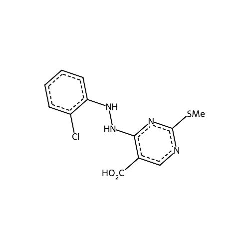 CSc1ncc(C(=O)O)c(NNc2ccccc2Cl)n1